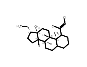 CC[C@H]1CC[C@H]2[C@@H]3CCC4CCCC(/C(Cl)=C/Cl)[C@]4(C)[C@H]3CC[C@]12C